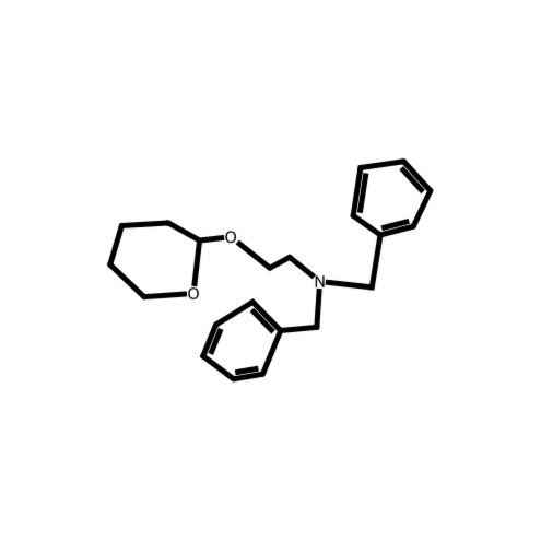 c1ccc(CN(CCOC2CCCCO2)Cc2ccccc2)cc1